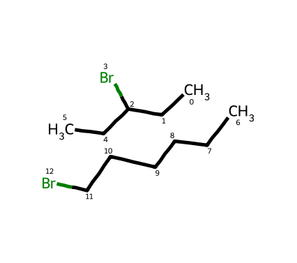 CCC(Br)CC.CCCCCCBr